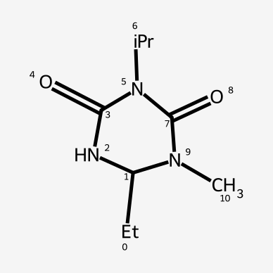 CCC1NC(=O)N(C(C)C)C(=O)N1C